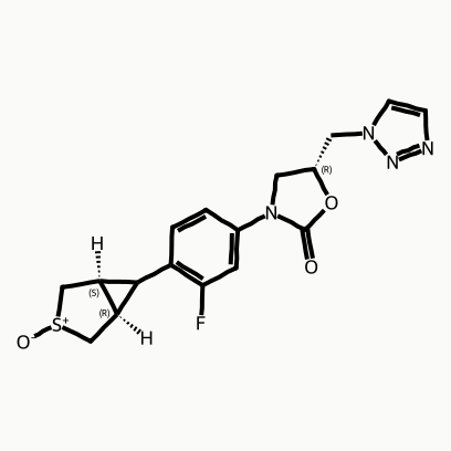 O=C1O[C@@H](Cn2ccnn2)CN1c1ccc(C2[C@H]3C[S+]([O-])C[C@@H]23)c(F)c1